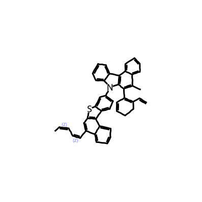 C=CC1=C(c2c(C)c3ccccc3c3c4ccccc4n(-c4ccc5c(c4)sc4cc(/C=C\C=C/C)c6ccccc6c45)c23)C=CCC1